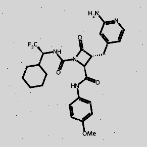 COc1ccc(NC(=O)[C@@H]2[C@@H](Cc3ccnc(N)c3)C(=O)N2C(=O)N[C@@H](C2CCCCC2)C(F)(F)F)cc1